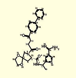 CC(NC(=O)[C@@H]1CC2(CN1C(=O)CCC(=O)c1ccc(-c3ccccc3)cc1)OCCO2)c1cc(C(=N)N)cs1